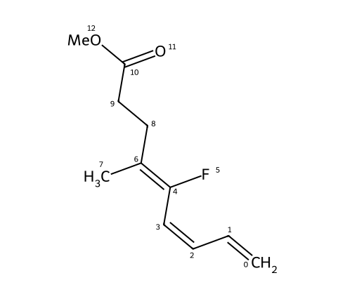 C=C/C=C\C(F)=C(/C)CCC(=O)OC